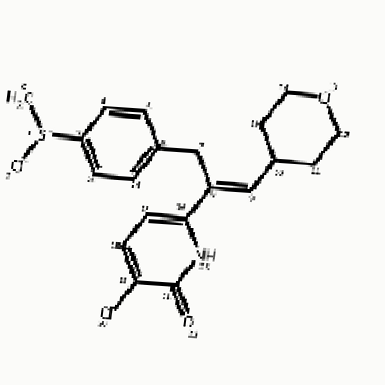 C[S+]([O-])c1ccc(C/C(=C\C2CCOCC2)c2ccc(Cl)c(=O)[nH]2)cc1